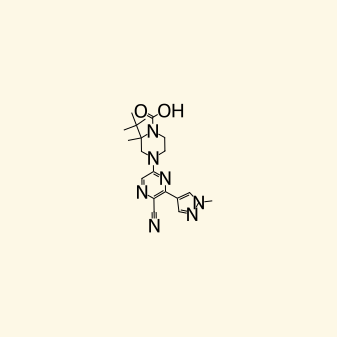 Cn1cc(-c2nc(N3CCN(C(=O)O)C(C)(C(C)(C)C)C3)cnc2C#N)cn1